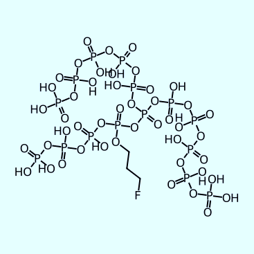 O=P(O)(O)OP(=O)(O)OP(=O)(O)OP(=O)(O)OP(=O)(O)OP(=O)(OP(=O)(O)OP(=O)(O)OP(=O)(O)OP(=O)(O)OP(=O)(O)O)OP(=O)(OCCCF)OP(=O)(O)OP(=O)(O)OP(=O)(O)O